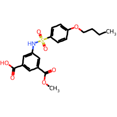 CCCCOc1ccc(S(=O)(=O)Nc2cc(C(=O)O)cc(C(=O)OC)c2)cc1